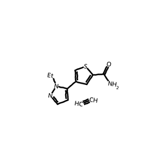 C#C.CCn1nccc1-c1csc(C(N)=O)c1